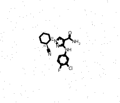 N#C[C@H]1CCCC[C@@H]1n1cc(C(N)=O)c(Nc2ccc(F)c(Cl)c2)n1